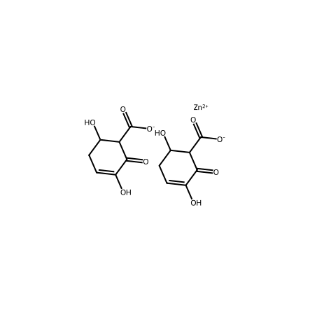 O=C([O-])C1C(=O)C(O)=CCC1O.O=C([O-])C1C(=O)C(O)=CCC1O.[Zn+2]